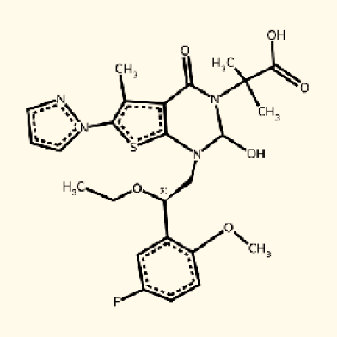 CCO[C@@H](CN1c2sc(-n3cccn3)c(C)c2C(=O)N(C(C)(C)C(=O)O)C1O)c1cc(F)ccc1OC